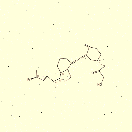 C=C1CC[C@H](OC(=O)CO)CC1=CC=C1CCC[C@@]2(C)C1CC[C@@H]2[C@H](C)/C=C/[C@H](C)C(C)C